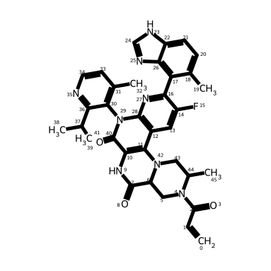 C=CC(=O)N1CC2C(=O)Nc3c(c4cc(F)c(-c5c(C)ccc6[nH]cnc56)nc4n(-c4c(C)ccnc4C(C)C)c3=O)N2CC1C